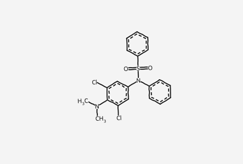 CN(C)c1c(Cl)cc(N(c2ccccc2)S(=O)(=O)c2ccccc2)cc1Cl